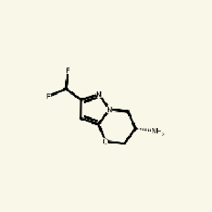 N[C@@H]1COc2cc(C(F)F)nn2C1